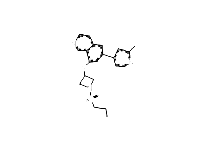 CCCS(=O)(=O)N1CC(Nc2cc(-c3ccnc(C)c3)cc3ccncc23)C1